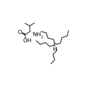 CC(C)[C@H](N)C(=O)O.CCCC[PH](CCCC)(CCCC)CCCC